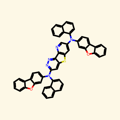 c1ccc2c(N(c3ccc4c(c3)oc3ccccc34)c3cnc4c(c3)sc3cc(N(c5ccc6c(c5)oc5ccccc56)c5cccc6ccccc56)nnc34)cccc2c1